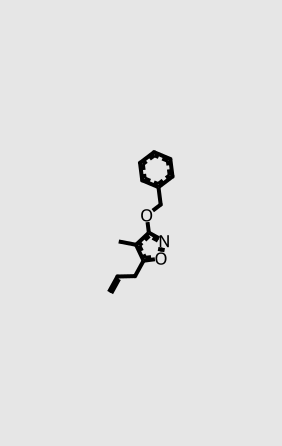 C=CCc1onc(OCc2ccccc2)c1C